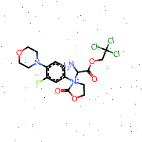 NC(C(=O)OCC(Cl)(Cl)Cl)[N+]1(c2ccc(N3CCOCC3)c(F)c2)CCOC1=O